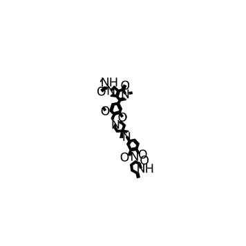 C=C1CC[C@@H](N2C(=O)c3ccc(N4CC5(CCN(Cc6c(OC)cc(-c7cn(C)c(=O)c8c7CN(C(=O)NC)C8)cc6OC)CC5)C4)cc3C2=O)C(=O)N1